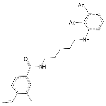 C=Cc1ccc(C(=O)NCCCCCNc2cccc(C(C)=O)c2C(C)=O)cc1C